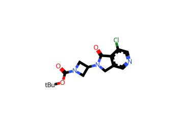 CC(C)(C)OC(=O)N1CC(N2Cc3cncc(Cl)c3C2=O)C1